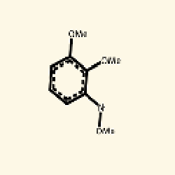 CO[N]c1cccc(OC)c1OC